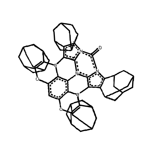 O=c1n2c3c(c4c2n2c5c(c6c(n15)C1CC5CC(CC6C5)C1)B1C5=C(Oc6cc7c(c-2c61)B4C1=C(O7)C2CC4CC(C2)CC1C4)C1CC2CC(C1)CC5C2)C1CC2CC(C1)CC3C2